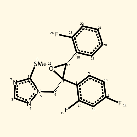 CSc1ncnn1C[C@]1(c2ccc(F)cc2F)O[C@@H]1c1ccccc1F